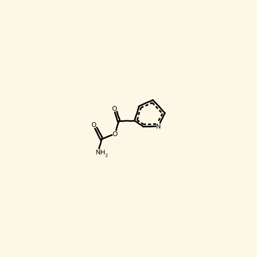 NC(=O)OC(=O)c1cccnc1